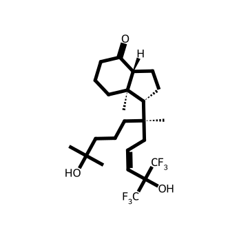 CC(C)(O)CCC[C@](C)(C/C=C\C(O)(C(F)(F)F)C(F)(F)F)[C@H]1CC[C@H]2C(=O)CCC[C@]12C